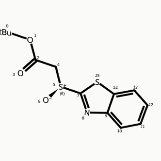 CC(C)(C)OC(=O)C[S@+]([O-])c1nc2ccccc2s1